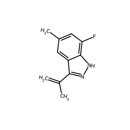 C=C(C)c1n[nH]c2c(F)cc(C)cc12